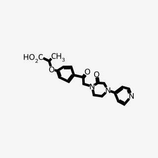 CC(Oc1ccc(C(=O)CN2CCN(c3ccncc3)CC2=O)cc1)C(=O)O